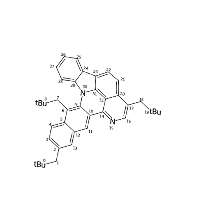 CC(C)(C)Cc1ccc2c(CC(C)(C)C)c3c(cc2c1)c1ncc(CC(C)(C)C)c2ccc4c5ccccc5n3c4c21